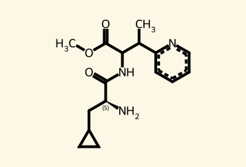 COC(=O)C(NC(=O)[C@@H](N)CC1CC1)C(C)c1ccccn1